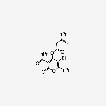 CCCC(=O)CC(=O)Oc1c(CC)c(CCC)oc(=O)c1C(=O)CCC